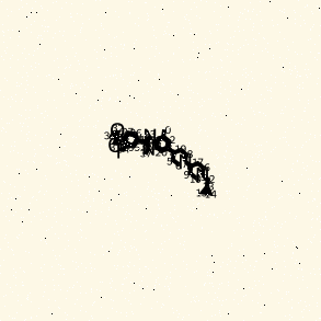 Cc1cc(C2CCN(C3CCN(CC4CC4)CC3)CC2)cc2c1nc(-c1ccc(S(C)(=O)=O)c(F)c1)n2C